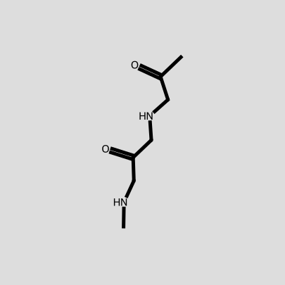 CNCC(=O)CNCC(C)=O